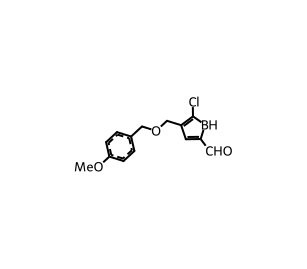 COc1ccc(COCC2=C(Cl)BC(C=O)=C2)cc1